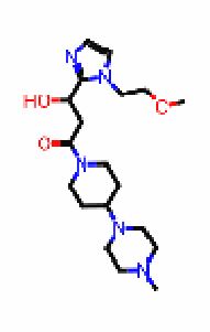 COCCn1ccnc1C(O)CC(=O)N1CCC(N2CCN(C)CC2)CC1